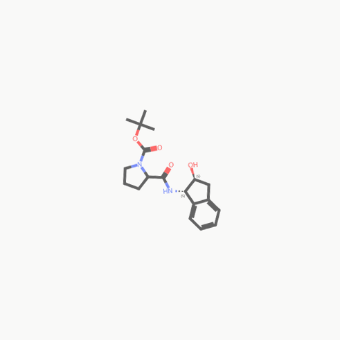 CC(C)(C)OC(=O)N1CCCC1C(=O)N[C@H]1c2ccccc2C[C@@H]1O